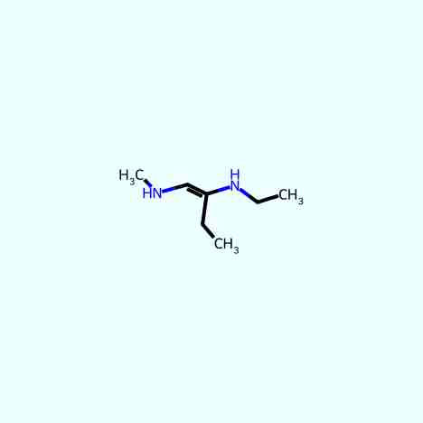 CCN/C(=C/NC)CC